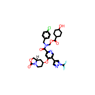 O=C(OCN(Cc1ccc(Cl)cc1)C(=O)c1cc(O[C@H]2CCN3C(=O)OC[C@@H]3C2)c(-c2cnn(C(F)F)c2)cn1)C1CCC(O)CC1